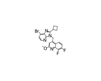 COc1cc(Cn2c(C3CCC3)nc3c(Br)ccnc32)c2ccc(F)c(F)c2n1